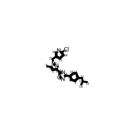 Cc1cc(-c2nc(-c3ccc(CC(C)C)cc3)no2)nn1Cc1ccc(Cl)nc1